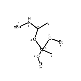 CCCCNC(C)O[Si](C)(OCC)OCC